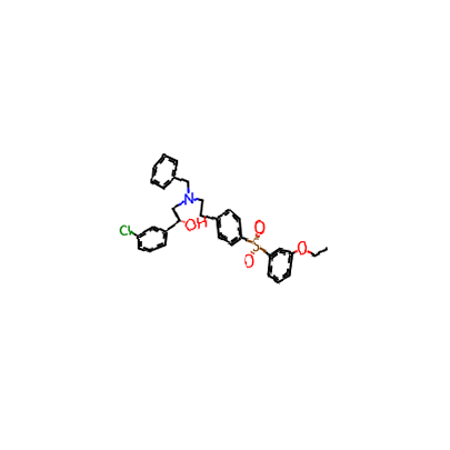 CCOc1cccc(S(=O)(=O)c2ccc(CCN(Cc3ccccc3)C[C@H](O)c3cccc(Cl)c3)cc2)c1